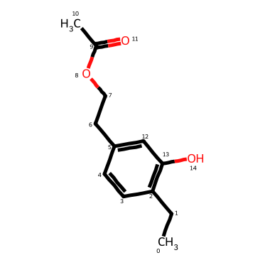 CCc1ccc(CCOC(C)=O)cc1O